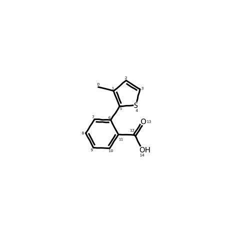 Cc1ccsc1-c1ccccc1C(=O)O